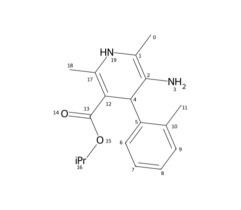 CC1=C(N)C(c2ccccc2C)C(C(=O)OC(C)C)=C(C)N1